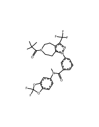 CN(C(=O)c1cccc(-n2nc(C(F)(F)F)c3c2CCN(C(=O)C(C)(C)C)CC3)c1)c1ccc2c(c1)OC(F)(F)O2